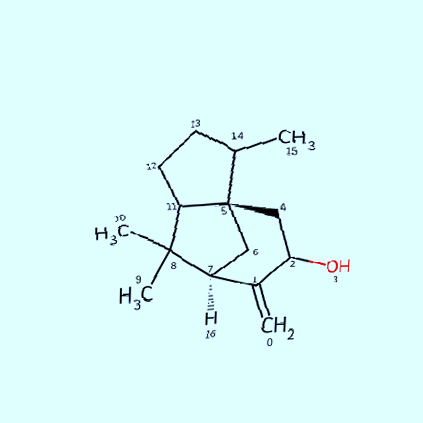 C=C1C(O)C[C@@]23C[C@@H]1C(C)(C)C2CCC3C